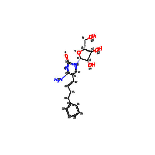 Nc1nc(=O)n([C@@H]2O[C@H](CO)[C@@H](O)[C@@H]2O)cc1C=CCCc1ccccc1